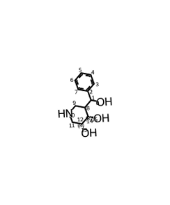 OC(c1ccccc1)C1CNC[C@@H](O)[C@@H]1O